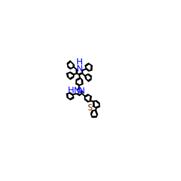 C1=C(c2ccccc2)NC(c2ccc(C3=C(c4ccccc4)C(c4ccccc4)NC(c4ccccc4)=C3c3ccccc3)cc2)N=C1c1ccc(-c2cccc3c2sc2ccccc23)cc1